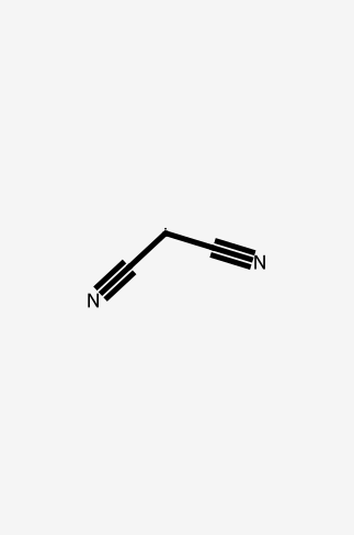 N#C[CH]C#N